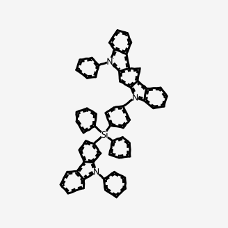 c1ccc(-n2c3ccccc3c3ccc([Si](c4ccccc4)(c4ccccc4)c4ccc(-n5c6ccccc6c6cc7c8ccccc8n(-c8ccccc8)c7cc65)cc4)cc32)cc1